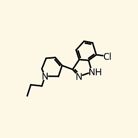 CCCN1CCC=C(c2n[nH]c3c(Cl)cccc23)C1